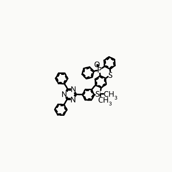 C[Si]1(C)c2ccc(-c3nc(-c4ccccc4)nc(-c4ccccc4)n3)cc2-c2cc3c(cc21)Sc1ccccc1P3(=O)c1ccccc1